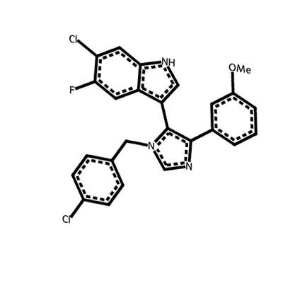 COc1cccc(-c2ncn(Cc3ccc(Cl)cc3)c2-c2c[nH]c3cc(Cl)c(F)cc23)c1